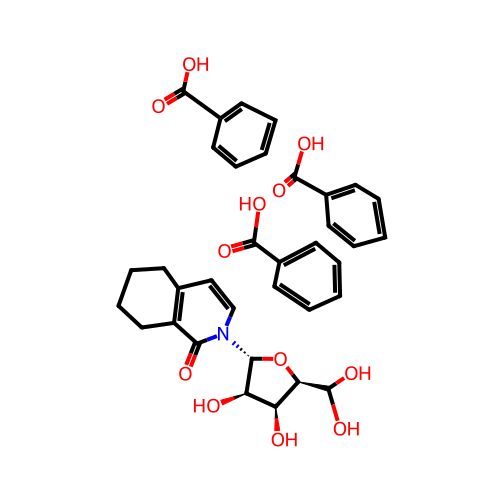 O=C(O)c1ccccc1.O=C(O)c1ccccc1.O=C(O)c1ccccc1.O=c1c2c(ccn1[C@@H]1O[C@@H](C(O)O)[C@@H](O)[C@H]1O)CCCC2